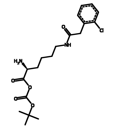 CC(C)(C)OC(=O)OC(=O)[C@@H](N)CCCCNC(=O)Cc1ccccc1Cl